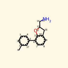 Cc1cccc(-c2cccc3c2OC(CN)C3)c1